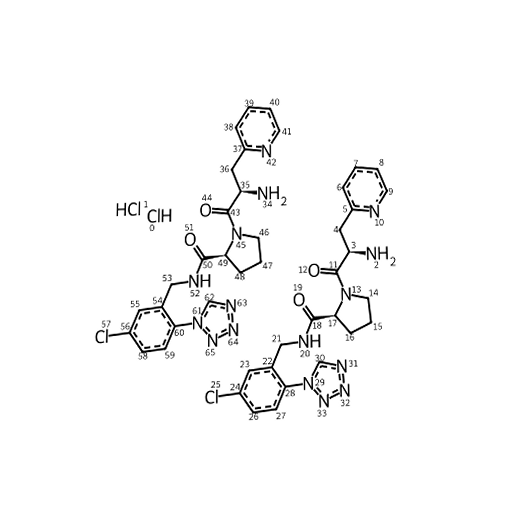 Cl.Cl.N[C@H](Cc1ccccn1)C(=O)N1CCC[C@H]1C(=O)NCc1cc(Cl)ccc1-n1cnnn1.N[C@H](Cc1ccccn1)C(=O)N1CCC[C@H]1C(=O)NCc1cc(Cl)ccc1-n1cnnn1